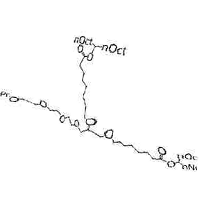 CCCCCCCCCC(CCCCCCCC)OC(=O)CCCCCCCOCC(COCCOCCOCCOCCC)OCCCCCCCC(=O)OC(CCCCCCCC)CCCCCCCC